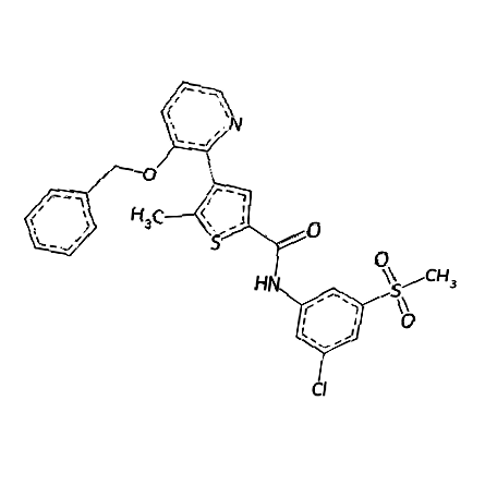 Cc1sc(C(=O)Nc2cc(Cl)cc(S(C)(=O)=O)c2)cc1-c1ncccc1OCc1ccccc1